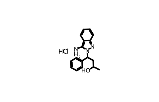 CC(O)CC(c1ccccc1)n1nc2ccccc2c1N.Cl